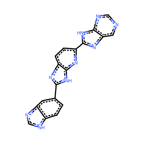 c1ncc2nc(-c3ccc4nc(-c5ccc6[nH]cnc6c5)[nH]c4n3)[nH]c2n1